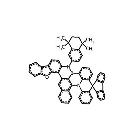 CC1(C)CCC(C)(C)c2cc(N3B4c5cccc6c5N(c5ccccc5C65c6ccccc6-c6ccccc65)c5c4c(cc4ccccc54)-c4c3ccc3c4oc4ccccc43)ccc21